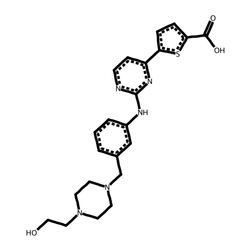 O=C(O)c1ccc(-c2ccnc(Nc3cccc(CN4CCN(CCO)CC4)c3)n2)s1